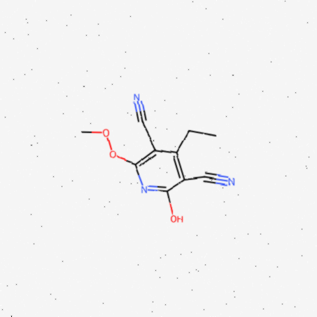 CCc1c(C#N)c(O)nc(OOC)c1C#N